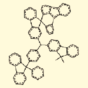 CC1(C)c2ccccc2-c2ccc(N(c3ccc(C4(c5ccccc5)c5ccccc5-c5ccccc54)cc3)c3ccc4c(c3)C3(c5ccccc5-4)c4ccccc4-n4c5ccccc5c5cccc3c54)cc21